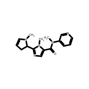 CN(C(=O)c1cnc(C2CC=CN2C)n1C)c1cccnc1